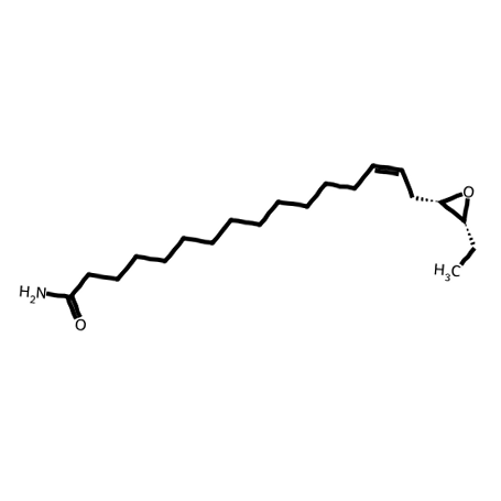 CC[C@H]1O[C@H]1C/C=C\CCCCCCCCCCCCC(N)=O